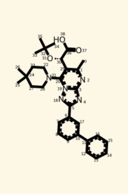 Cc1nc2nc(-c3cccc(-c4ccccc4)c3)nn2c(N2CCC(C)(C)CC2)c1[C@H](OC(C)(C)C)C(=O)O